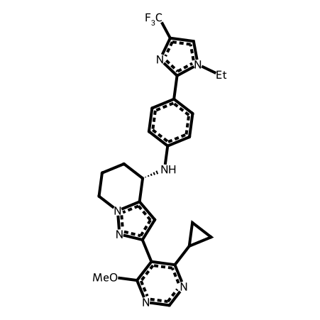 CCn1cc(C(F)(F)F)nc1-c1ccc(N[C@H]2CCCn3nc(-c4c(OC)ncnc4C4CC4)cc32)cc1